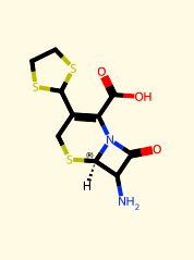 NC1C(=O)N2C(C(=O)O)=C(C3SCCS3)CS[C@H]12